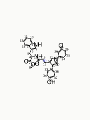 COC(=O)C(Cc1c[nH]c2ccccc12)NC(=O)/C=C/c1cn(-c2cccc(Cl)c2)nc1-c1ccc(O)cc1